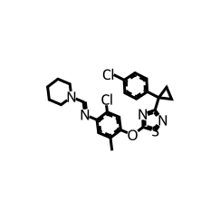 Cc1cc(N=CN2CCCCC2)c(Cl)cc1Oc1nc(C2(c3ccc(Cl)cc3)CC2)ns1